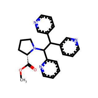 COC(=O)[C@@H]1CCCN1C(c1ccccn1)C(c1cccnc1)c1cccnc1